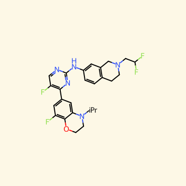 CC(C)N1CCOc2c(F)cc(-c3nc(Nc4ccc5c(c4)CN(CC(F)F)CC5)ncc3F)cc21